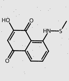 CSNc1cccc2c1C(=O)C(O)=CC2=O